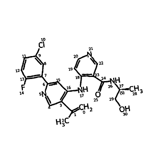 C=C(C)c1cnc(-c2cc(Cl)ccc2F)cc1Nc1ccncc1C(=O)N[C@@H](C)CO